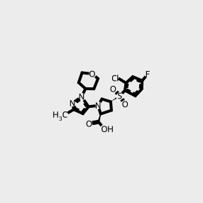 Cc1cc(N2C[C@H](S(=O)(=O)c3ccc(F)cc3Cl)C[C@H]2C(=O)O)n(C2CCOCC2)n1